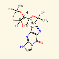 CC(C)(C)[Si](C)(C)O[C@@H]1[C@@H]2O[Si](C(C)(C)C)(C(C)(C)C)OC[C@H]2O[C@H]1n1cnc2c(=O)n3cc[nH]c3nc21